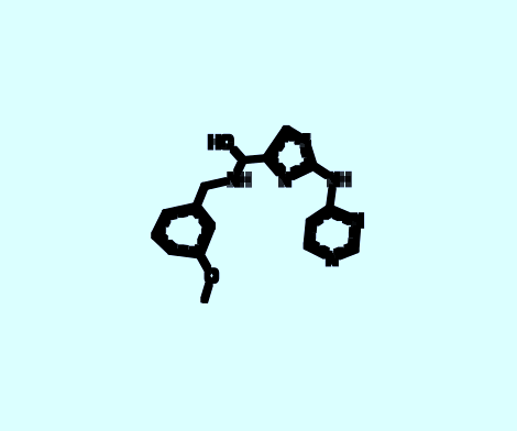 COc1cccc(CNC(O)c2csc(Nc3ccncn3)n2)c1